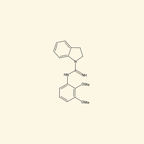 COc1cccc(NC(=N)N2CCc3ccccc32)c1OC